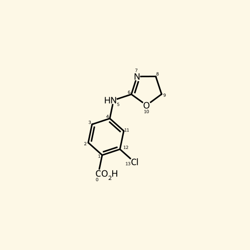 O=C(O)c1ccc(NC2=NCCO2)cc1Cl